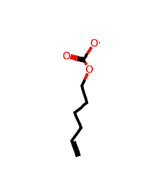 C=CCCCCOC([O])=O